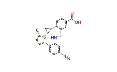 N#Cc1ccc(-c2ccc(Cl)s2)c(NSc2cc(C(=O)O)ccc2C2CC2)c1